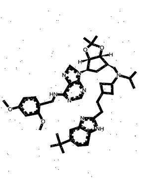 COc1ccc(CNc2ncnc3c2ncn3[C@@H]2C[C@H](CN(C(C)C)C3CC(CCc4nc5cc(C(C)(C)C)ccc5[nH]4)C3)[C@H]3OC(C)(C)O[C@H]32)c(OC)c1